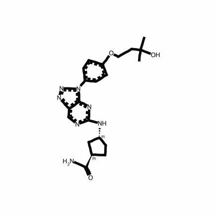 CC(C)(O)CCOc1ccc(-n2nnc3cnc(N[C@@H]4CC[C@@H](C(N)=O)C4)nc32)cc1